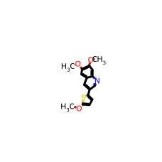 COc1ccc(-c2cnc3cc(OC)c(OC)cc3c2)s1